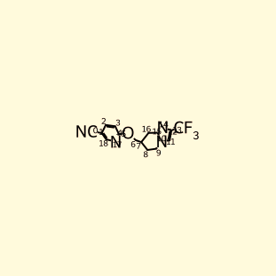 N#Cc1ccc(OCC2CCn3cc(C(F)(F)F)nc3C2)nc1